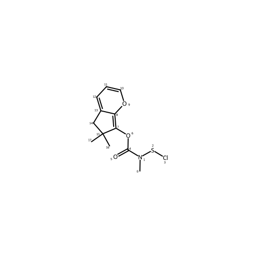 CN(SCl)C(=O)OC1=C2OC=CC=C2CC1(C)C